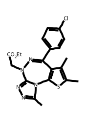 CCOC(=O)CN1N=C(c2ccc(Cl)cc2)c2c(sc(C)c2C)-n2c(C)nnc21